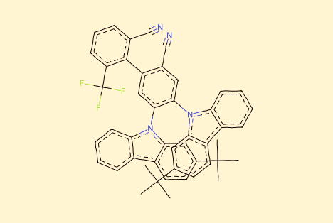 CC(C)(C)c1ccc2c3ccccc3n(-c3cc(C#N)c(-c4c(C#N)cccc4C(F)(F)F)cc3-n3c4ccccc4c4ccc(C(C)(C)C)cc43)c2c1